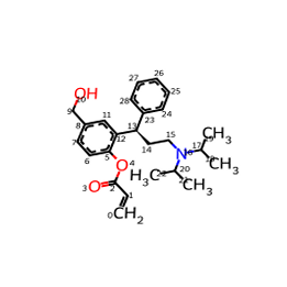 C=CC(=O)Oc1ccc(CO)cc1[C@H](CCN(C(C)C)C(C)C)c1ccccc1